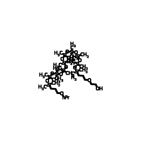 CCCOCCC[Si](C)(C)O[Si](C)(C)O[Si](C)(C)O[Si](C)(C)O[Si](C)(C)O[Si](C)(C)O[Si](C)(C)O[Si](C)(C)O[Si](C)(C)O[Si](C)(C)CCCOCCO